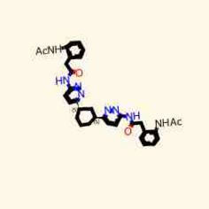 CC(=O)Nc1ccccc1CC(=O)Nc1ccc([C@H]2CCC[C@H](c3ccc(NC(=O)Cc4ccccc4NC(C)=O)nn3)C2)nn1